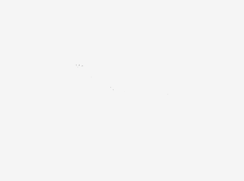 COC(=O)C=Nc1c(C)cc(C)cc1C